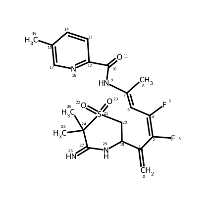 C=C(/C(F)=C(F)\C=C(/C)NC(=O)c1ccc(C)cn1)C1CS(=O)(=O)C(C)(C)C(=N)N1